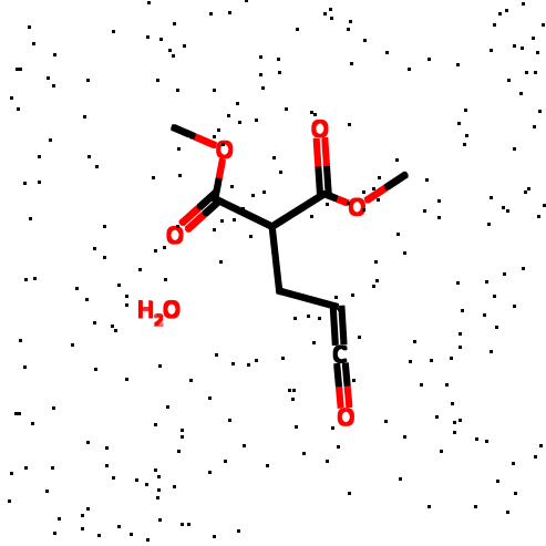 COC(=O)C(CC=C=O)C(=O)OC.O